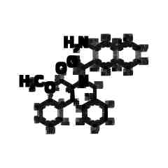 COC(=O)[C@H](Cc1ccccc1)N(Cc1ccccc1)C(=O)c1cc2ccccc2cc1N